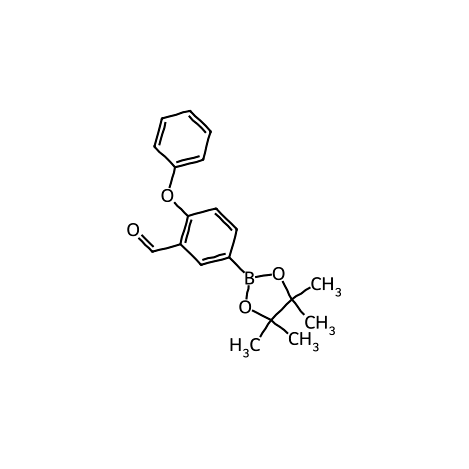 CC1(C)OB(c2ccc(Oc3ccccc3)c(C=O)c2)OC1(C)C